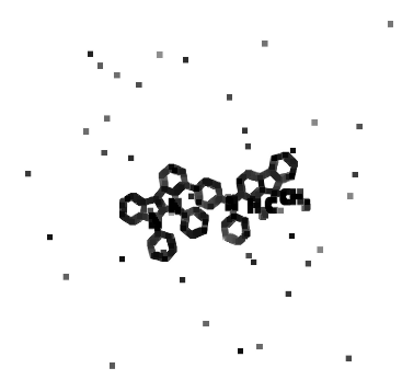 CC1(C)c2ccccc2-c2ccc(N(c3ccccc3)c3ccc(-c4cccc5c6c7ccccc7n(-c7ccccc7)c6n(-c6ccccc6)c45)cc3)cc21